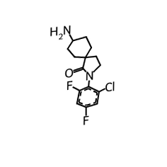 NC1CCC2(CC1)CCN(c1c(F)cc(F)cc1Cl)C2=O